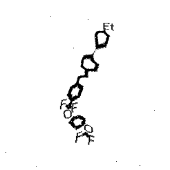 CC[C@H]1CC[C@H](C2CCC(CCc3ccc(C(F)(F)Oc4ccc(OC(F)F)cc4)cc3)CC2)CC1